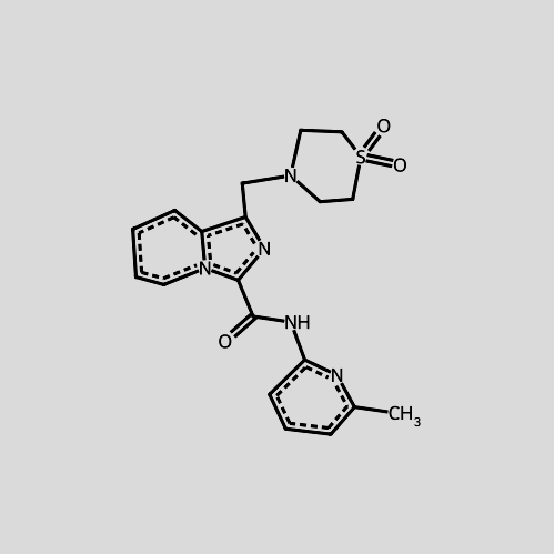 Cc1cccc(NC(=O)c2nc(CN3CCS(=O)(=O)CC3)c3ccccn23)n1